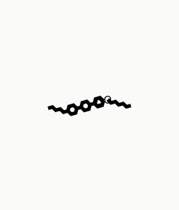 CCCCCCOc1ccc(C2CCC(C3CCC(CCCCC)CC3)CC2)cc1